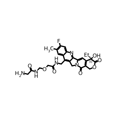 CC[C@@]1(O)C(=O)OCc2c1cc1n(c2=O)Cc2c-1nc1cc(F)c(C)cc1c2CNC(=O)COCNC(=O)CN